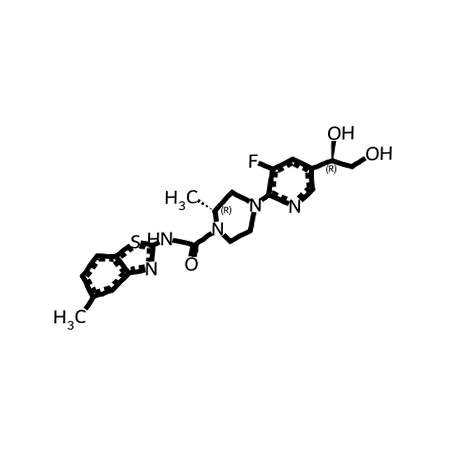 Cc1ccc2sc(NC(=O)N3CCN(c4ncc([C@@H](O)CO)cc4F)C[C@H]3C)nc2c1